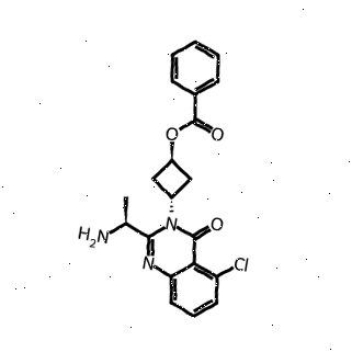 C[C@H](N)c1nc2cccc(Cl)c2c(=O)n1[C@H]1C[C@H](OC(=O)c2ccccc2)C1